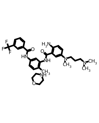 C1COCCN1.Cc1ccc(NC(=O)c2cccc(C(F)(F)F)c2)cc1NC(=O)c1cc(N(C)CCCN(C)C)ccc1N